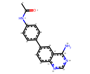 CC(=O)Nc1ccc(-c2ccc3ncnc(N)c3c2)cc1